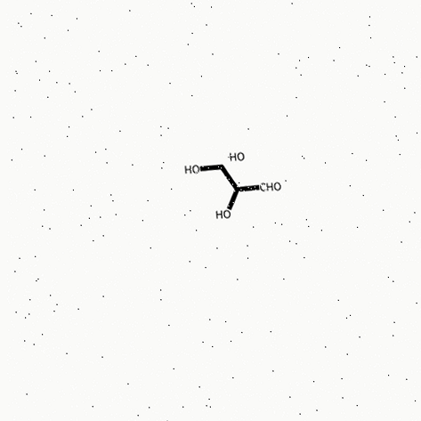 O=CC(O)CO.[OH]